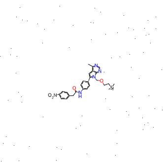 Cc1ncnc2c1cc(-c1ccc(NC(=O)Cc3ccc([N+](=O)[O-])cc3)cc1)n2COCC[Si](C)(C)C